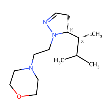 CC(C)[C@@H](C)[C@H]1CC=NN1CCN1CCOCC1